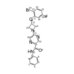 O=C(Nc1ccccc1)c1cnc(N2CC(Oc3cc(F)ccc3Br)C2)cn1